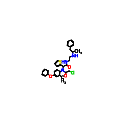 Cc1cc(Oc2ccccc2)ccc1N(C(=O)CCl)C(C(=O)NCCNC(C)Cc1ccccc1)c1cccs1